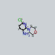 Nc1ccc(Cl)nc1N1CCOCC1